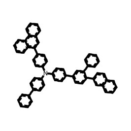 c1ccc(-c2ccc(N(c3ccc(-c4ccc(-c5ccc6ccccc6c5)c(-c5ccccc5)c4)cc3)c3ccc(-c4cc5ccccc5c5ccccc45)cc3)cc2)cc1